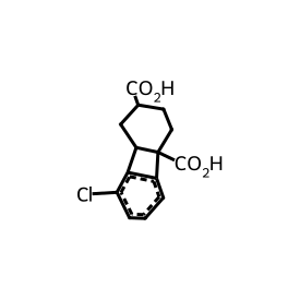 O=C(O)C1CCC2(C(=O)O)c3cccc(Cl)c3C2C1